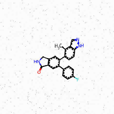 Cc1c(-c2cc3c(cc2-c2ccc(F)cc2)C(=O)NC3)ccc2[nH]ncc12